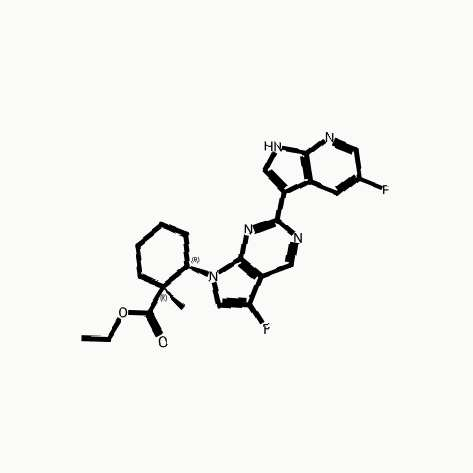 CCOC(=O)[C@]1(C)CCCC[C@H]1n1cc(F)c2cnc(-c3c[nH]c4ncc(F)cc34)nc21